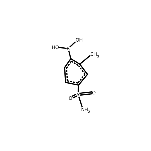 Cc1cc(S(N)(=O)=O)ccc1B(O)O